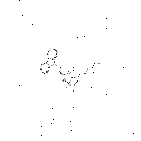 C=CCCCCCC[C@](C)(NC(=O)OCC1c2ccccc2-c2ccccc21)C(=O)O